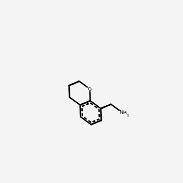 NCc1cccc2c1OCCC2